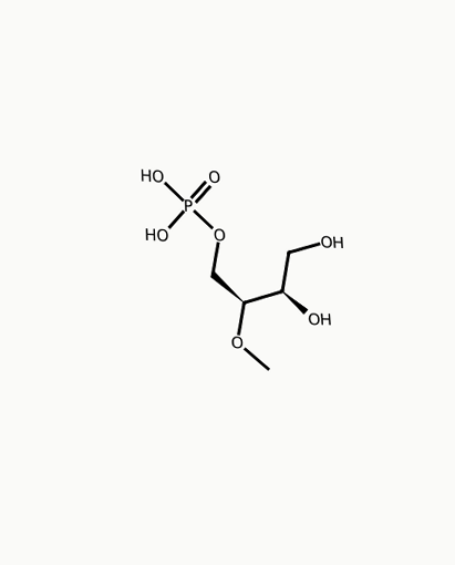 CO[C@@H](COP(=O)(O)O)[C@H](O)CO